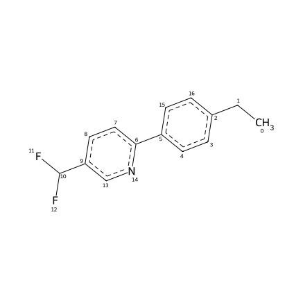 CCc1ccc(-c2ccc(C(F)F)cn2)cc1